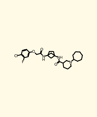 O=C(COc1ccc(Cl)c(F)c1)NC12CCC(NC(=O)C3CCCN(C4CCCCCC4)C3)(C1)C2